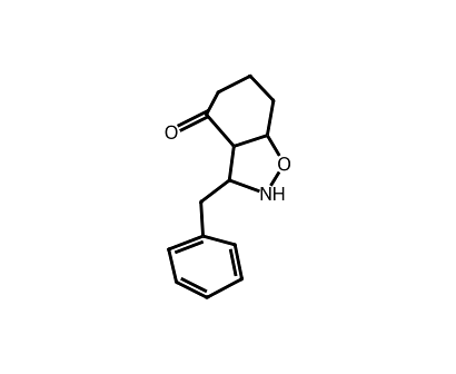 O=C1CCCC2ONC(Cc3ccccc3)C12